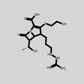 C[C@@H](O)C1C(=O)N2C(C(=O)O)=C(SCCO)C(CCCNNC(=N)N)C12